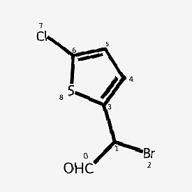 O=CC(Br)c1ccc(Cl)s1